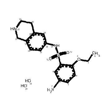 CCOc1ccc(N)cc1S(=O)(=O)Nc1ccc2c(c1)CCNC2.Cl.Cl